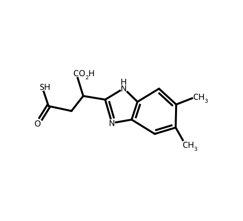 Cc1cc2nc(C(CC(=O)S)C(=O)O)[nH]c2cc1C